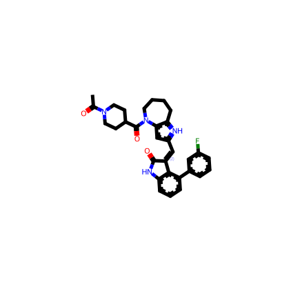 CC(=O)N1CCC(C(=O)N2CCCCc3[nH]c(/C=C4\C(=O)Nc5cccc(-c6cccc(F)c6)c54)cc32)CC1